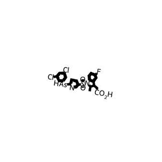 CC1C(CC(=O)O)c2cc(F)ccc2N1S(=O)(=O)c1ccc([AsH]c2cc(Cl)cc(Cl)c2)nc1